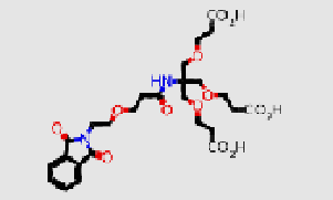 O=C(O)CCOCC(COCCC(=O)O)(COCCC(=O)O)NC(=O)CCOCCN1C(=O)c2ccccc2C1=O